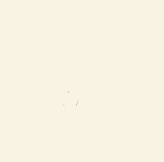 [CH]1CCC(CCc2ccccc2)CC1